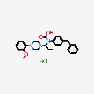 CCC(N1CCN(c2ccccc2OC)CC1)N(C(=O)O)c1ccc(Cc2ccccc2)cc1.Cl